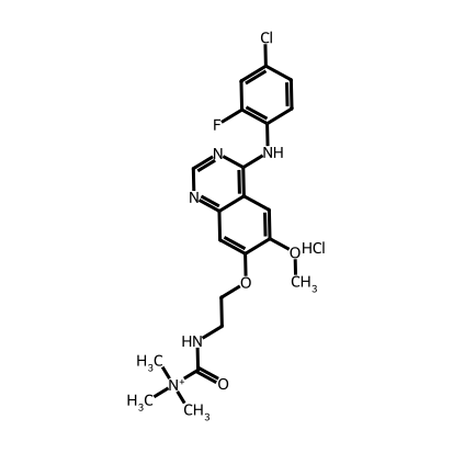 COc1cc2c(Nc3ccc(Cl)cc3F)ncnc2cc1OCCNC(=O)[N+](C)(C)C.Cl